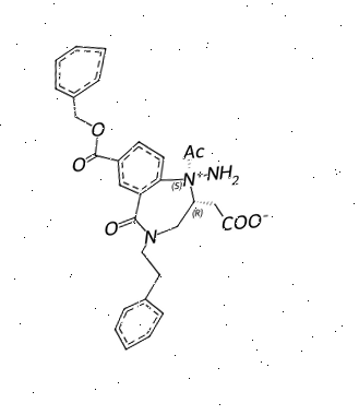 CC(=O)[N@@+]1(N)c2ccc(C(=O)OCc3ccccc3)cc2C(=O)N(CCc2ccccc2)C[C@H]1CC(=O)[O-]